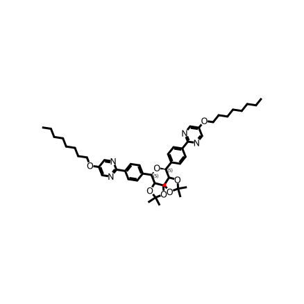 CCCCCCCCOc1cnc(-c2ccc([C@H](O[C@@H](c3ccc(-c4ncc(OCCCCCCCC)cn4)cc3)C3COC(C)(C)O3)C3COC(C)(C)O3)cc2)nc1